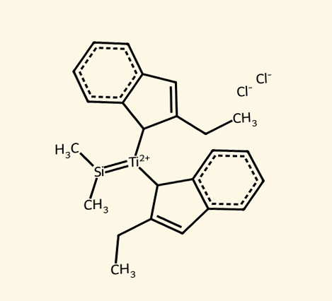 CCC1=Cc2ccccc2[CH]1[Ti+2]([CH]1C(CC)=Cc2ccccc21)=[Si](C)C.[Cl-].[Cl-]